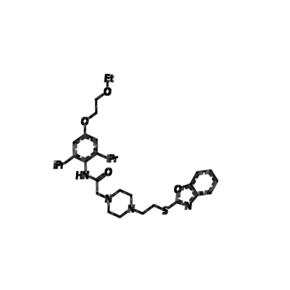 CCOCCOc1cc(C(C)C)c(NC(=O)CN2CCN(CCSc3nc4ccccc4o3)CC2)c(C(C)C)c1